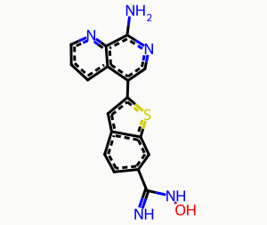 N=C(NO)c1ccc2cc(-c3cnc(N)c4ncccc34)sc2c1